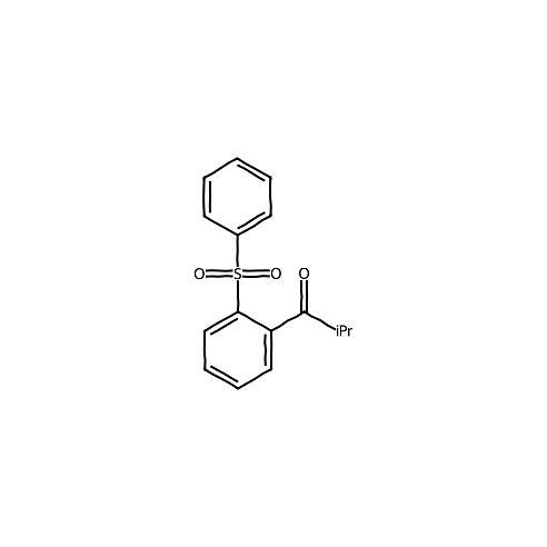 CC(C)C(=O)c1ccccc1S(=O)(=O)c1ccccc1